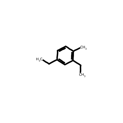 CCc1ccc(C)c(CC)c1